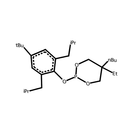 CCCCC1(CC)COP(Oc2c(CC(C)C)cc(C(C)(C)C)cc2CC(C)C)OC1